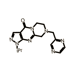 CC(C)n1ncc2c(=O)n3c(nc21)CN(Cc1cnccn1)CC3